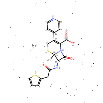 O=C(Cc1cccs1)N[C@@H]1C(=O)N2C(C(=O)[O-])=C(c3ccncc3)CS[C@@H]12.[Na+]